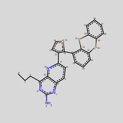 CCCc1nc(N)nc2ccc(-c3ccsc3-c3cccc4c3Sc3ccccc3S4)nc12